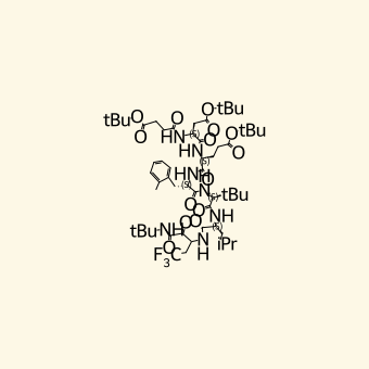 Cc1ccccc1C[C@H](NC(=O)[C@H](CCC(=O)OC(C)(C)C)NC(=O)[C@H](CC(=O)OC(C)(C)C)NC(=O)CCC(=O)OC(C)(C)C)C(=O)N[C@H](C(=O)N[C@@H](CC(C)C)C(=O)NC(CC(F)(F)F)C(=O)C(=O)NC(C)(C)C)C(C)(C)C